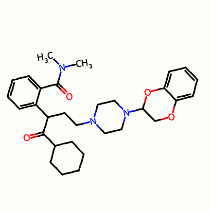 CN(C)C(=O)c1ccccc1C(CCN1CCN(C2COc3ccccc3O2)CC1)C(=O)C1CCCCC1